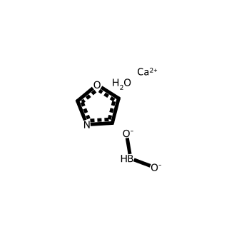 O.[Ca+2].[O-]B[O-].c1cocn1